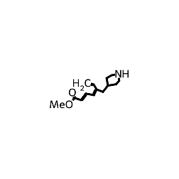 C=C/C(=C\C=C\C(=O)OC)CC1CCNCC1